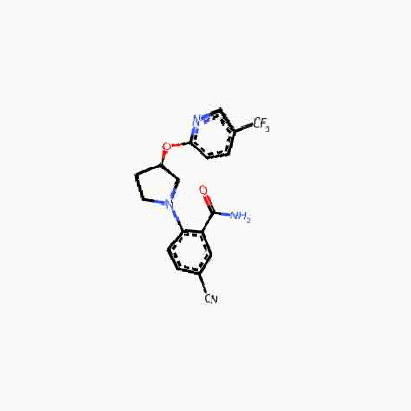 N#Cc1ccc(N2CC[C@@H](Oc3ccc(C(F)(F)F)cn3)C2)c(C(N)=O)c1